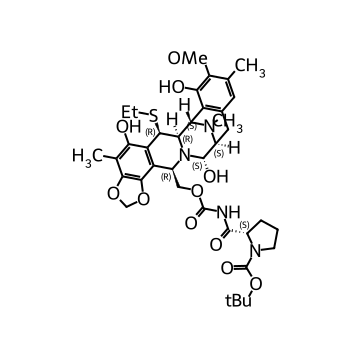 CCS[C@@H]1c2c(O)c(C)c3c(c2[C@H](COC(=O)NC(=O)[C@@H]2CCCN2C(=O)OC(C)(C)C)N2[C@@H]1[C@@H]1c4c(cc(C)c(OC)c4O)C[C@@H]([C@@H]2O)N1C)OCO3